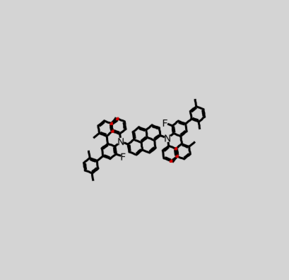 Cc1ccc(C)c(-c2cc(F)c(N(c3ccccc3)c3ccc4ccc5c(N(c6ccccc6)c6c(F)cc(-c7cc(C)ccc7C)cc6-c6cc(C)ccc6C)ccc6ccc3c4c65)c(-c3cc(C)ccc3C)c2)c1